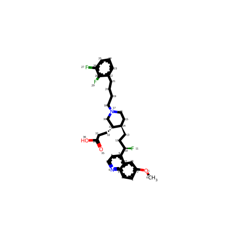 COc1ccc2nccc([C@H](F)CC[C@@H]3CCN(CCCCc4cccc(F)c4F)C[C@H]3CCC(=O)O)c2c1